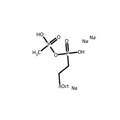 CCCCCCCCCCP(=O)(O)OP(C)(=O)O.[Na].[Na].[Na]